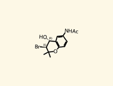 CC(=O)Nc1ccc2c(c1)[C@@H](O)[C@H](Br)C(C)(C)O2